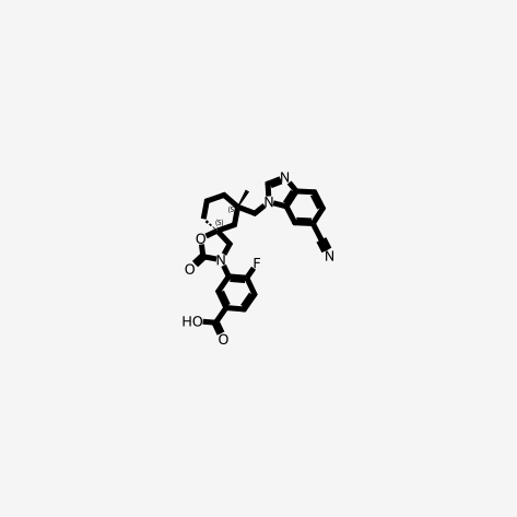 C[C@]1(Cn2cnc3ccc(C#N)cc32)CCC[C@@]2(CN(c3cc(C(=O)O)ccc3F)C(=O)O2)C1